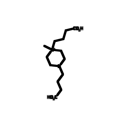 C[N+]1(CCCC(=O)O)CCN(CCCC(=O)O)CC1